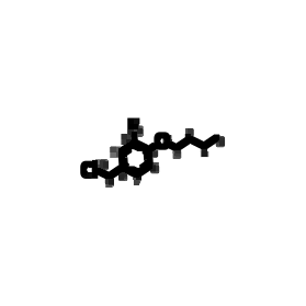 CCCCOc1ccc(CCl)cc1F